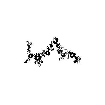 CCCOc1cc(OCCCCN(C)C)cc(Oc2cc3c(cc2NS(=O)(=O)c2cccc(C(=O)N[C@H]4C[C@@H](Oc5cc(-c6cnn([C@H](C(=O)N7C[C@H](O)C[C@H]7C(=O)N[C@@H](C)c7ccc(-c8scnc8C)cc7)C(C)(C)C)c6)ccn5)C4)c2)n(C)c(=O)n3C)c1